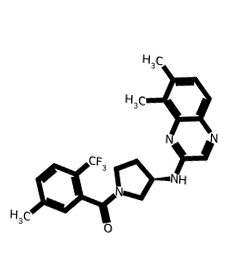 Cc1ccc(C(F)(F)F)c(C(=O)N2CC[C@@H](Nc3cnc4ccc(C)c(C)c4n3)C2)c1